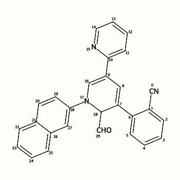 N#Cc1ccccc1C1=CC(c2ccccn2)=CN(c2ccc3ccccc3c2)C1C=O